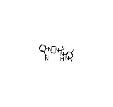 Cc1cc(C)nc(NC(=S)N2CCN(c3ccccc3C#N)CC2)c1